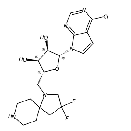 O[C@@H]1[C@H](O)[C@@H](CN2CC(F)(F)CC23CCNCC3)O[C@H]1n1ccc2c(Cl)ncnc21